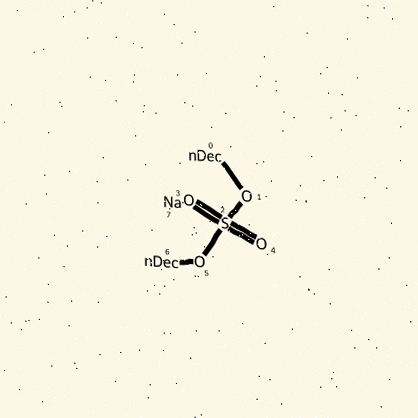 CCCCCCCCCCOS(=O)(=O)OCCCCCCCCCC.[Na]